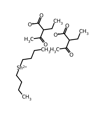 CCC(C(C)=O)C(=O)[O-].CCC(C(C)=O)C(=O)[O-].CCC[CH2][Sn+2][CH2]CCC